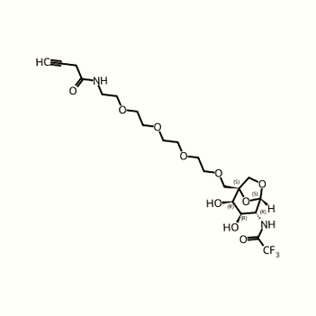 C#CCC(=O)NCCOCCOCCOCCOC[C@@]12CO[C@@H](O1)[C@H](NC(=O)C(F)(F)F)[C@@H](O)[C@H]2O